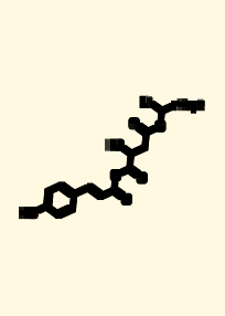 CCCCCCCC(CC)OC(=O)CC(O)C(=O)OC(=O)/C=C/c1ccc(O)cc1